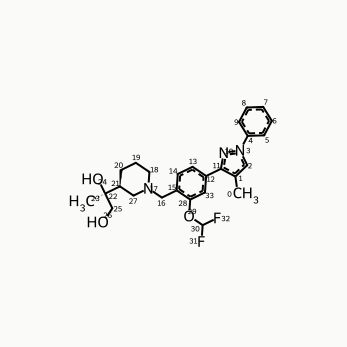 Cc1cn(-c2ccccc2)nc1-c1ccc(CN2CCC[C@H]([C@](C)(O)CO)C2)c(OC(F)F)c1